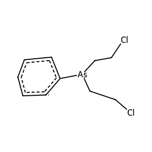 ClCC[As](CCCl)c1[c]cccc1